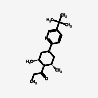 CCC(=O)N1[C@H](C)CN(c2ccc(C(C)(C)C)cn2)C[C@@H]1C